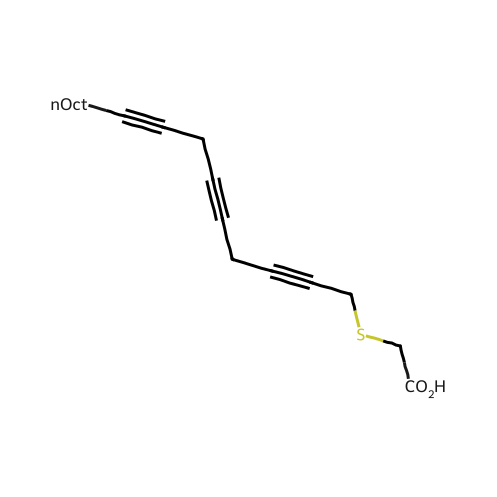 CCCCCCCCC#CCC#CCC#CCSCC(=O)O